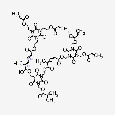 C=CC(=O)OCCn1c(=O)n(CCOC(=O)C=C)c(=O)n(CCOC(=O)/C=C/C=C(\C)C(O)OCn2c(=O)n(COC(=O)C(=C)C)c(=O)n(COC(=O)C(C)=C=CC(=O)OCn3c(=O)n(COC(=O)C=C)c(=O)n(COC(=O)C=C)c3=O)c2=O)c1=O